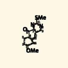 COc1ccc(C(=O)c2ccnc(SC)n2)c(F)c1